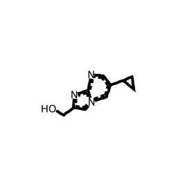 OCc1cn2cc(C3CC3)cnc2n1